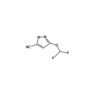 N#CC1=CC(OC(F)F)=N[N]1